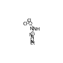 CCN1CCN(c2ccc(-c3nc(-c4ccc(Cl)c(Cl)c4)c[nH]3)cn2)CC1